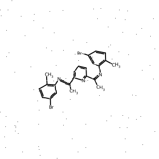 CC(=Nc1cc(Br)ccc1C)c1cccc(C(C)=Nc2cc(Br)ccc2C)n1